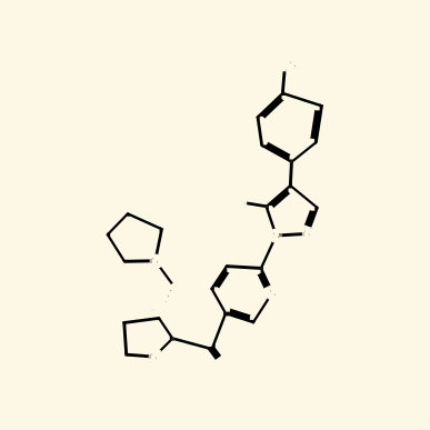 N#Cc1ccc(-c2cnn(-c3ccc(C(=O)C4NCC[C@@H]4CN4CCCC4)cn3)c2O)cc1